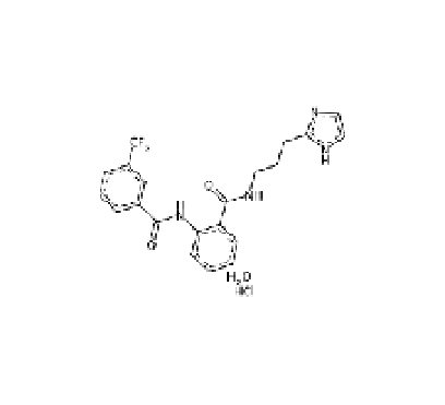 Cl.O.O=C(Nc1ccccc1C(=O)NCCCc1ncc[nH]1)c1cccc(C(F)(F)F)c1